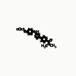 CCCCCCCCOc1ccc(Nc2nc(-c3ccc(C(=O)N(C)C)nc3)cs2)cc1